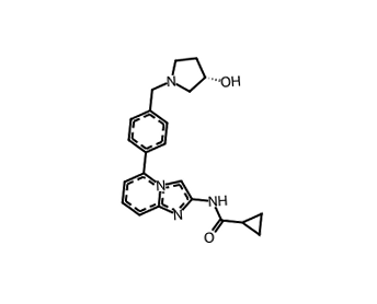 O=C(Nc1cn2c(-c3ccc(CN4CC[C@H](O)C4)cc3)cccc2n1)C1CC1